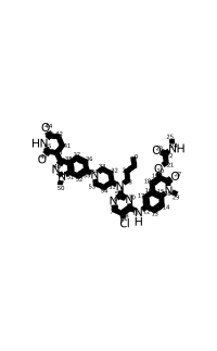 CCCCN(c1ncc(Cl)c(Nc2ccc3c(c2)cc(OCC(=O)NC)c(=O)n3C)n1)C1CCN(c2ccc3c(C4CCC(=O)NC4=O)nn(C)c3c2)CC1